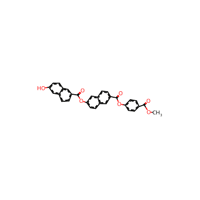 COC(=O)c1ccc(OC(=O)c2ccc3cc(OC(=O)c4ccc5cc(O)ccc5c4)ccc3c2)cc1